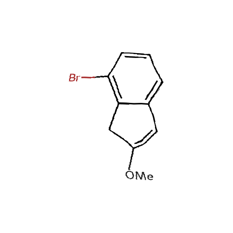 COC1=Cc2cccc(Br)c2C1